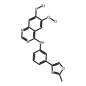 CCOc1cc2ncnc(Nc3cccc(-c4coc(C)n4)c3)c2cc1OCC